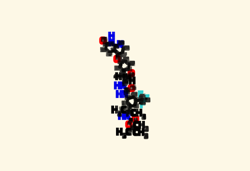 CC(C)(C)OC(=O)NC(C)(C)c1cc(NC(=O)N[C@H]2[C@H]3Oc4ccc(Oc5ccnc6c5CCC(=O)N6)cc4[C@@H]23)cc(C(F)(F)F)c1